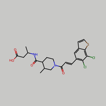 CC(CC(=O)O)NC(=O)C1CCN(C(=O)C=Cc2cc3ccsc3c(Cl)c2Cl)CC1C